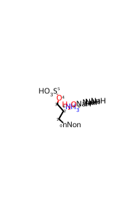 CCCCCCCCCCCCOS(=O)(=O)O.N.O.[NaH].[NaH].[NaH].[NaH]